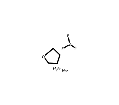 C1CCOC1.FB(F)F.[BH4-].[Na+]